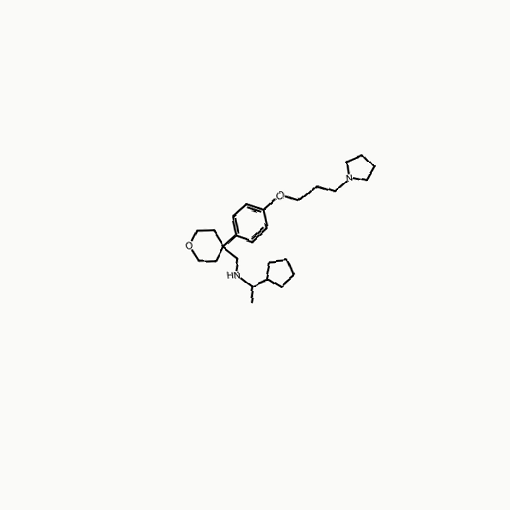 CC(NCC1(c2ccc(OCCCN3CCCC3)cc2)CCOCC1)C1CCCC1